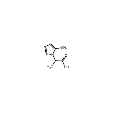 Cc1cnnn1C(C)C(=O)O